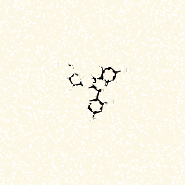 O=c1c(OC2O[C@H](CO)[C@@H](O)[C@@H]2O)c(-c2ccc(O)cc2O)oc2cc(O)cc(O)c12